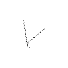 [CH2]CCCN(CCCCCCCCCCCCCCCCCC)CCCCCCCCCCCCCCCCCC